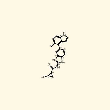 Cc1ccc2[nH]ccc2c1-c1ccc2sc(NC(=O)C3CC3F)nc2c1